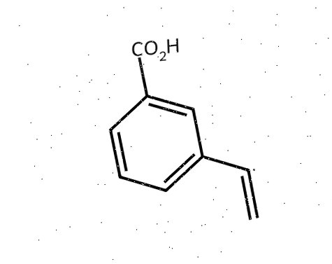 C=[C]c1cccc(C(=O)O)c1